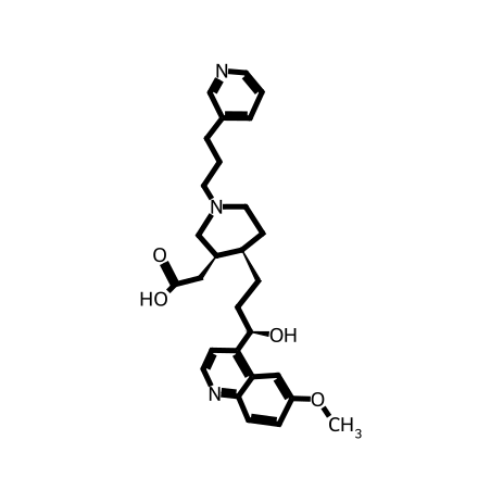 COc1ccc2nccc([C@H](O)CC[C@@H]3CCN(CCCc4cccnc4)C[C@@H]3CC(=O)O)c2c1